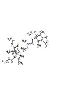 C=C(NP(=O)(CNC/C(C)=C/Cc1c(O)c2c(c(C)c1CC)COC2=O)N[C@@H](C)C(=O)OCC)C(=O)OCC